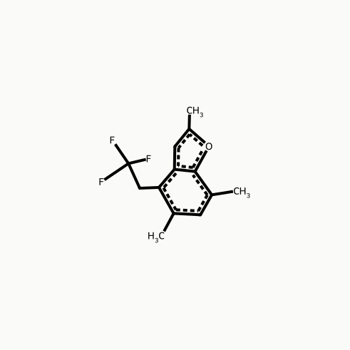 Cc1cc2c(CC(F)(F)F)c(C)cc(C)c2o1